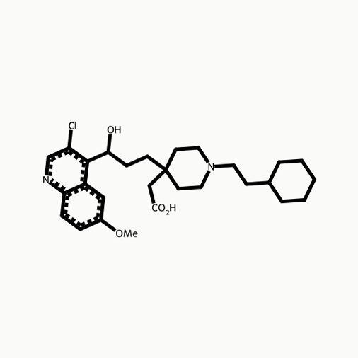 COc1ccc2ncc(Cl)c(C(O)CCC3(CC(=O)O)CCN(CCC4CCCCC4)CC3)c2c1